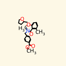 COC(=O)c1ccc(CN(C)C(=O)c2c(C)cccc2OCC2CCCO2)cc1